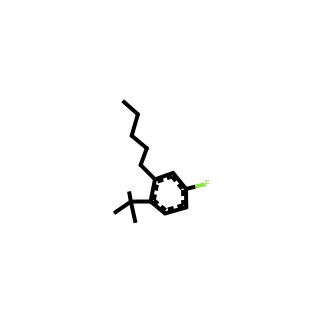 CCCCCc1cc(F)ccc1C(C)(C)C